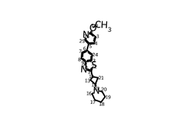 COc1ccc(-c2ccc3nc(C4CC(N5CCCCC5)C4)sc3c2)cn1